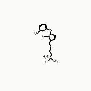 CC(C)N1C(COCC[Si](C)(C)C)C=CC1Oc1cccc([N+](=O)[O-])c1